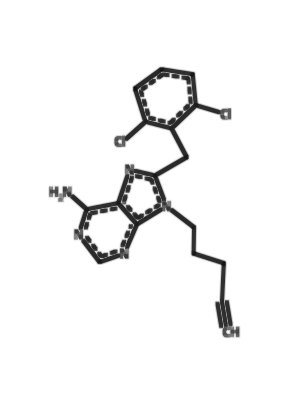 C#CCCCn1c(Cc2c(Cl)cccc2Cl)nc2c(N)ncnc21